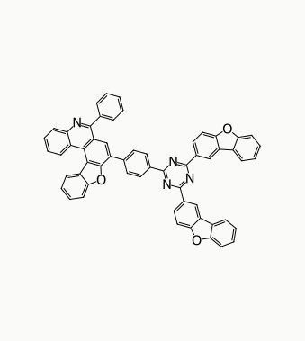 c1ccc(-c2nc3ccccc3c3c2cc(-c2ccc(-c4nc(-c5ccc6oc7ccccc7c6c5)nc(-c5ccc6oc7ccccc7c6c5)n4)cc2)c2oc4ccccc4c23)cc1